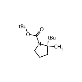 CC(C)(C)OC(=O)N1CCC[C@@]1(C)C(C)(C)C